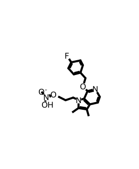 CCCn1c(C)c(C)c2ccnc(OCc3ccc(F)cc3)c21.O=[N+]([O-])O